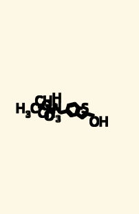 CC(C)(C)OC(=O)NCc1ccc2sc(CO)cc2c1